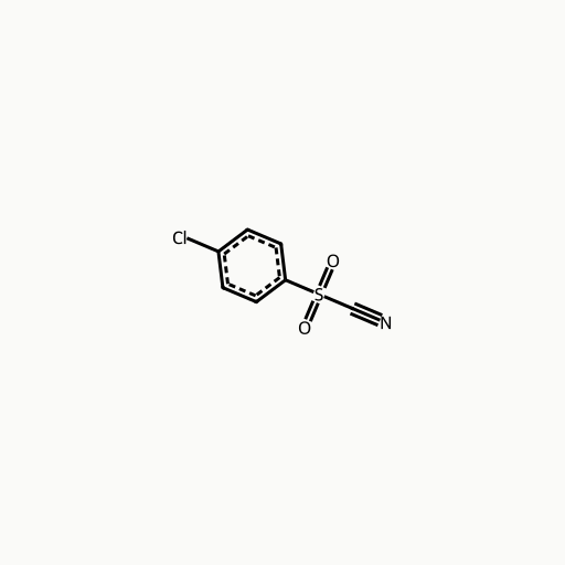 N#CS(=O)(=O)c1ccc(Cl)cc1